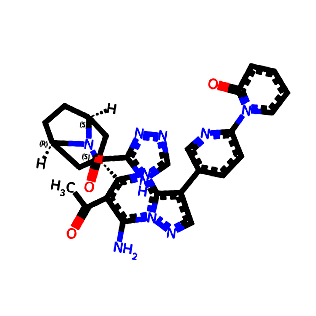 CC(=O)c1c([C@@H]2C[C@H]3CC[C@@H](C2)N3C(=O)c2nnc[nH]2)nc2c(-c3ccc(-n4ccccc4=O)nc3)cnn2c1N